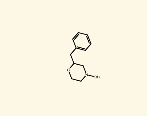 ON1CCOC(Cc2ccccc2)C1